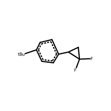 CC(C)(C)c1ccc(C2CC2(F)F)cc1